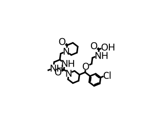 CNCC(CN1CCCCC1=O)NC(=O)N1CCCC(C(OCCNC(=O)O)c2cccc(Cl)c2)C1